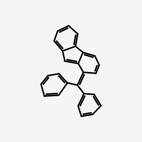 [C]1=c2c(cccc2=C(c2ccccc2)c2ccccc2)-c2ccccc21